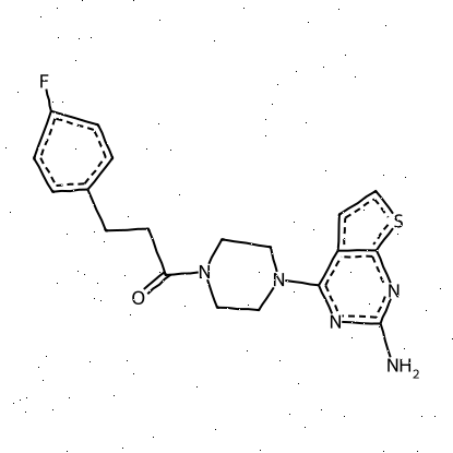 Nc1nc(N2CCN(C(=O)CCc3ccc(F)cc3)CC2)c2ccsc2n1